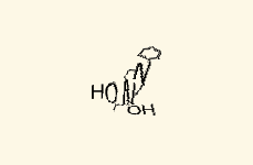 CC(O)[C@@H](O)N1CCN(c2ccccc2)CC1